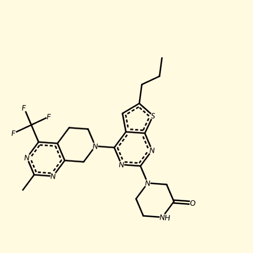 CCCc1cc2c(N3CCc4c(nc(C)nc4C(F)(F)F)C3)nc(N3CCNC(=O)C3)nc2s1